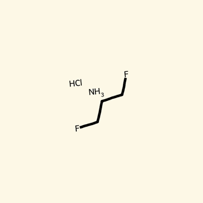 Cl.FCCCF.N